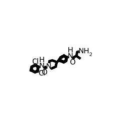 CC(CN)C(=O)Nc1ccc(C2CCN(C(=O)Nc3c(Cl)cccc3Cl)CC2)cc1